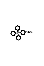 [Cl][Ni][Cl].[c]1ccc([PH](c2ccccc2)(c2ccccc2)c2ccccc2)cc1